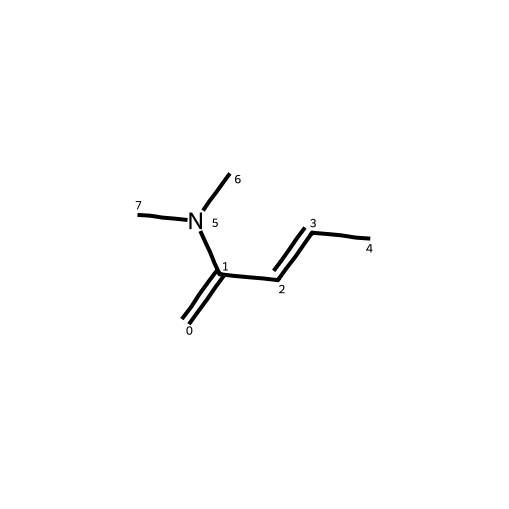 C=C(C=CC)N(C)C